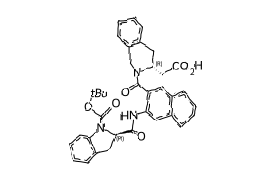 CC(C)(C)OC(=O)N1c2ccccc2C[C@@H]1C(=O)Nc1cc2ccccc2cc1C(=O)N1Cc2ccccc2C[C@@H]1CC(=O)O